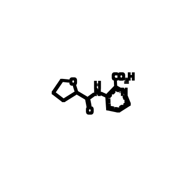 O=C(O)c1ncccc1NC(=O)C1CCCO1